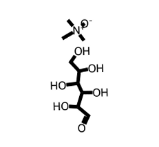 C[N+](C)(C)[O-].O=CC(O)C(O)C(O)C(O)CO